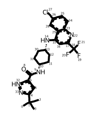 CC(C)(C)c1cc(C(=O)N[C@H]2CC[C@@H](Nc3cc(C(F)(F)F)nc4ccc(Cl)cc34)CC2)[nH]n1